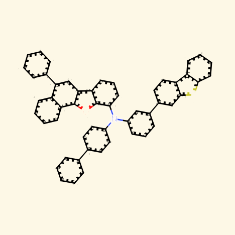 c1ccc(-c2ccc(N(c3cccc(-c4ccc5c(c4)sc4ccccc45)c3)c3cccc4c3oc3c5ccccc5c(-c5ccccc5)cc43)cc2)cc1